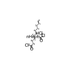 C=CCCCCCCCCC(=O)Cl.CCCCCCCC(=O)Cl.Cl